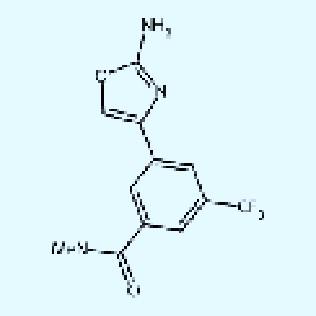 CNC(=O)c1cc(-c2coc(N)n2)cc(C(F)(F)F)c1